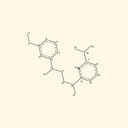 CCc1cccc(C(C)CCC(C)c2cccc(C(C)C)n2)c1